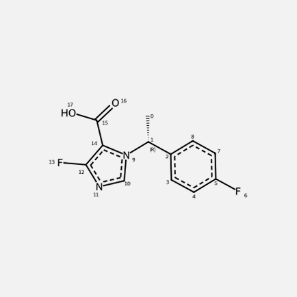 C[C@H](c1ccc(F)cc1)n1cnc(F)c1C(=O)O